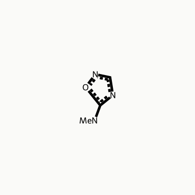 CNc1ncno1